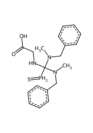 CN(Cc1ccccc1)C(NCC(=O)O)([PH2]=S)N(C)Cc1ccccc1